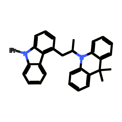 CC(Cc1cccc2c1c1ccccc1n2C(C)C)N1c2ccccc2C(C)(C)c2ccccc21